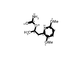 COc1ccc(OC)c(CC(C)OC(N)=O)n1